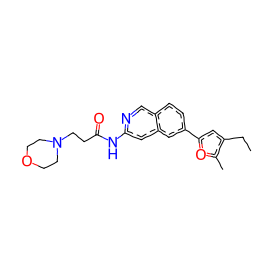 CCc1cc(-c2ccc3cnc(NC(=O)CCN4CCOCC4)cc3c2)oc1C